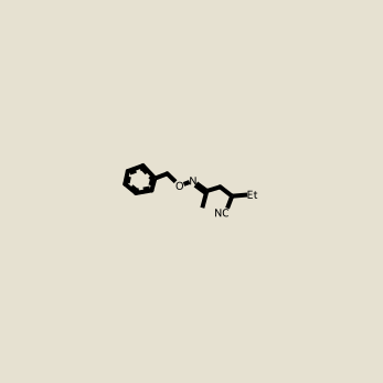 CCC(C#N)C/C(C)=N/OCc1ccccc1